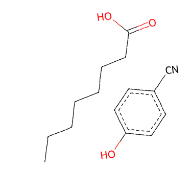 CCCCCCCC(=O)O.N#Cc1ccc(O)cc1